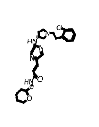 O=C(C=Cc1cnc(N[C@@H]2CCN(CCc3ccccc3Cl)C2)cn1)NOC1CCCCO1